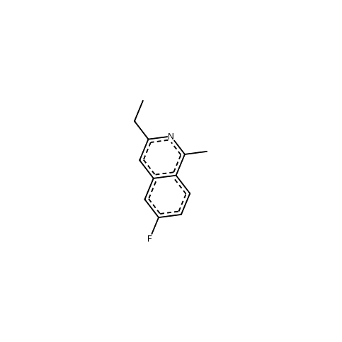 CCc1cc2cc(F)ccc2c(C)n1